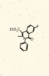 CCOC(=O)c1c(C)n(-c2ccccc2)c(=O)c2cc(F)ccc12